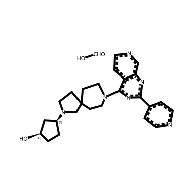 O=CO.O[C@@H]1CC[C@H](N2CCC3(CCN(c4nc(-c5ccncc5)nc5cnccc45)CC3)C2)C1